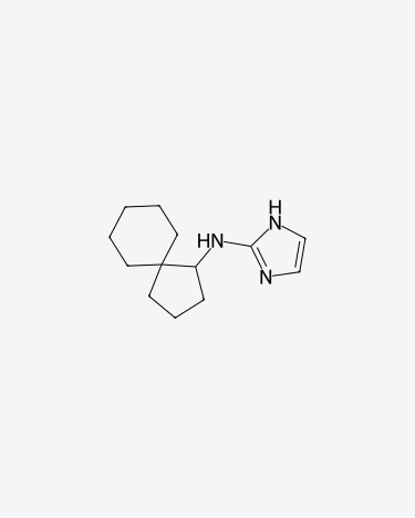 c1c[nH]c(NC2CCCC23CCCCC3)n1